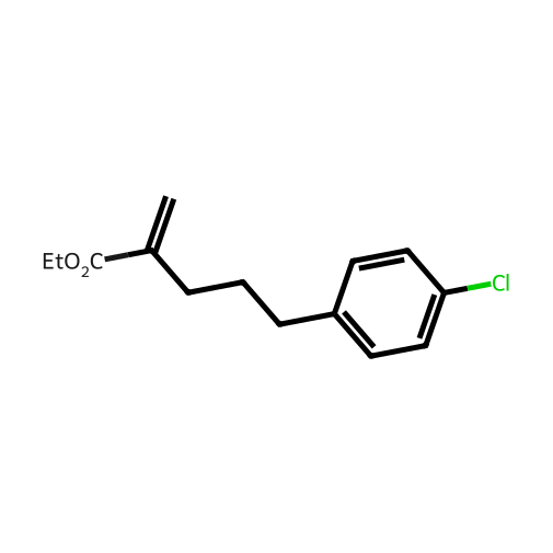 C=C(CCCc1ccc(Cl)cc1)C(=O)OCC